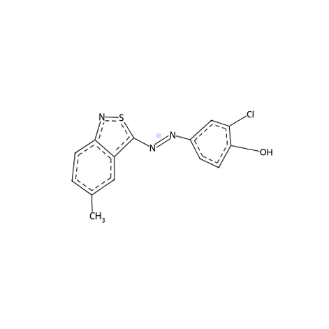 Cc1ccc2nsc(/N=N/c3ccc(O)c(Cl)c3)c2c1